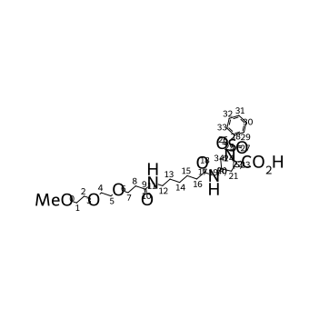 COCCOCCOCCC(=O)NCCCCCC(=O)N[C@@H]1C[C@@H](C(=O)O)N(S(=O)(=O)c2ccccc2)C1